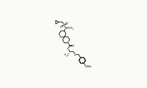 COc1ccc(COC[C@@H](OC(=O)N2CCC3(CC2)CC(N(C)S(=O)(=O)CC2CC2)CCO3)C(F)(F)F)cc1